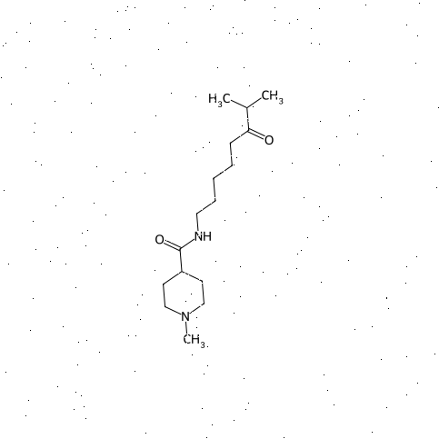 CC(C)C(=O)CCCCCNC(=O)C1CCN(C)CC1